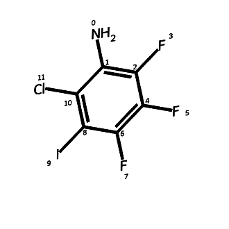 Nc1c(F)c(F)c(F)c(I)c1Cl